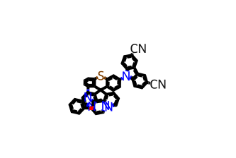 N#Cc1ccc2c(c1)c1cc(C#N)ccc1n2-c1ccc2c(c1)Sc1cccc(-n3c4ccccc4c4ccncc43)c1C21c2cccnc2-c2ncccc21